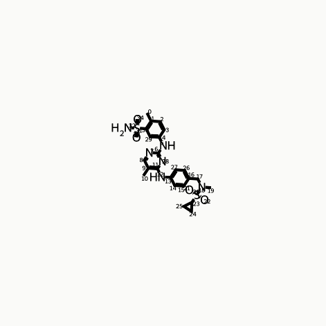 Cc1ccc(Nc2ncc(C)c(Nc3ccc(CN(C)S(=O)(=O)C4CC4)cc3)n2)cc1S(N)(=O)=O